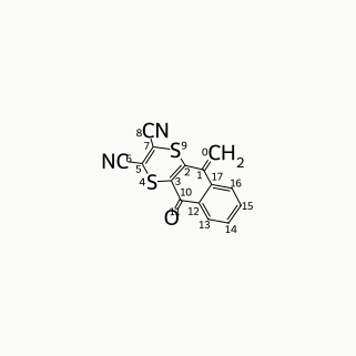 C=C1C2=C(SC(C#N)=C(C#N)S2)C(=O)c2ccccc21